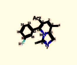 CC(=O)c1cc(C)c2cnc(C)n2c1-c1cccc(F)c1